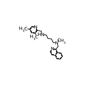 Cc1cnc(CNCCCCN(C)Cc2nccc3ccccc23)c(C)c1